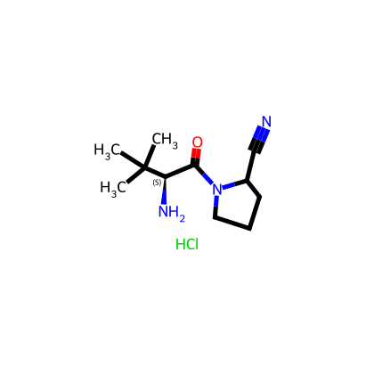 CC(C)(C)[C@H](N)C(=O)N1CCCC1C#N.Cl